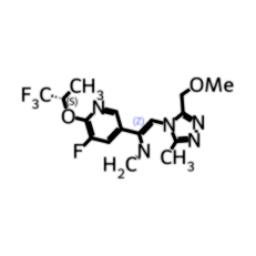 C=N/C(=C\n1c(C)nnc1COC)c1cnc(O[C@@H](C)C(F)(F)F)c(F)c1